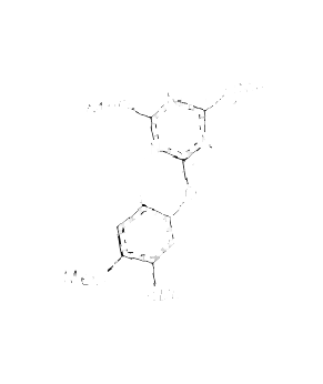 COc1nc(OC)nc(Oc2ccc(OC)c(C(C)(C)C)c2)n1